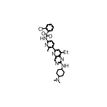 CCc1cc(-c2ccc(NS(=O)(=O)c3ccccc3Cl)nc2C)nc2cnc(NC3CCC(N(C)C)CC3)nc12